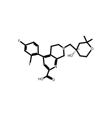 CC1(C)C[C@](O)(CN2CCc3c(-c4ccc(F)cc4F)cc(C(=O)O)nc3C2)CCO1